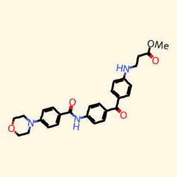 COC(=O)CCNc1ccc(C(=O)c2ccc(NC(=O)c3ccc(N4CCOCC4)cc3)cc2)cc1